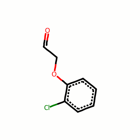 O=CCOc1ccccc1Cl